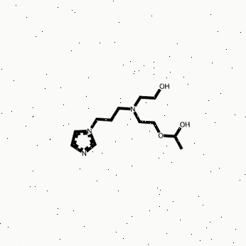 CC(O)OCCN(CCO)CCCn1ccnc1